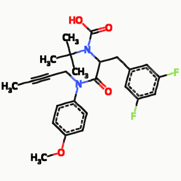 CC#CCN(C(=O)C(Cc1cc(F)cc(F)c1)N(C(=O)O)C(C)(C)C)c1ccc(OC)cc1